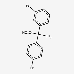 CC(C(=O)O)(c1ccc(Br)cc1)c1cccc(Br)c1